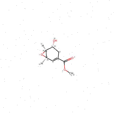 COC(=O)C1=C[C@H]2O[C@H]2[C@H](O)C1